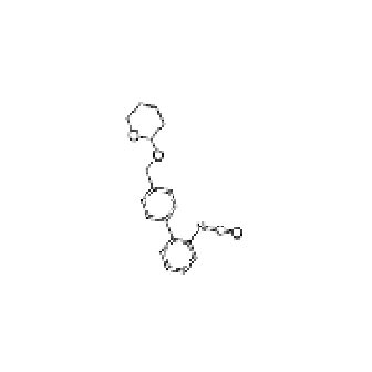 O=C=Nc1ccccc1-c1ccc(COC2CCCCO2)cc1